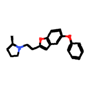 C[C@@H]1CCCN1CCc1cc2cc(Oc3ccccc3)ccc2o1